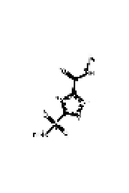 CCCCCCS(=O)(=O)c1nnc(C(=O)NC(C)C)s1